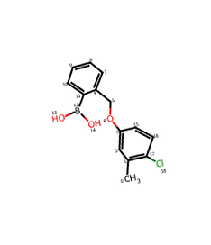 Cc1cc(OCc2ccccc2B(O)O)ccc1Cl